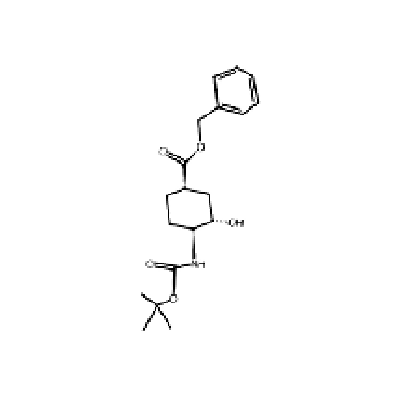 CC(C)(C)OC(=O)N[C@H]1CC[C@@H](C(=O)OCc2ccccc2)C[C@@H]1O